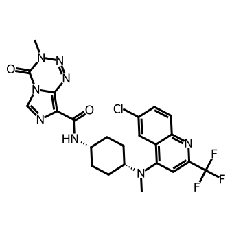 Cn1nnc2c(C(=O)N[C@H]3CC[C@@H](N(C)c4cc(C(F)(F)F)nc5ccc(Cl)cc45)CC3)ncn2c1=O